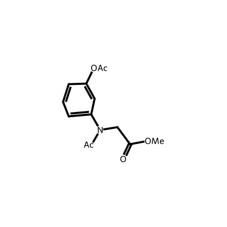 COC(=O)CN(C(C)=O)c1cccc(OC(C)=O)c1